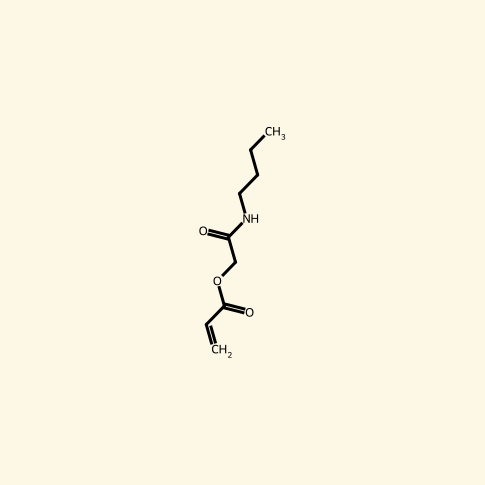 C=CC(=O)OCC(=O)NCCCC